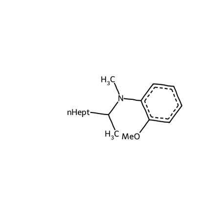 CCCCCCCC(C)N(C)c1ccccc1OC